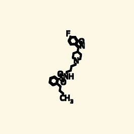 CCCCc1ccccc1S(=O)(=O)NCCCCN1CCC(c2noc3cc(F)ccc23)CC1